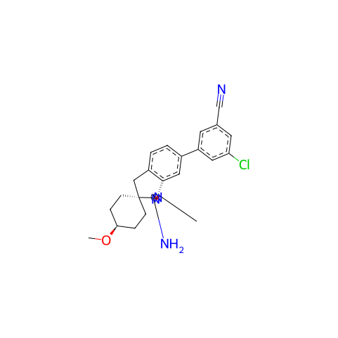 CO[C@H]1CC[C@]2(CC1)Cc1ccc(-c3cc(Cl)cc(C#N)c3)cc1[C@]21N=C(C)C(N)=N1